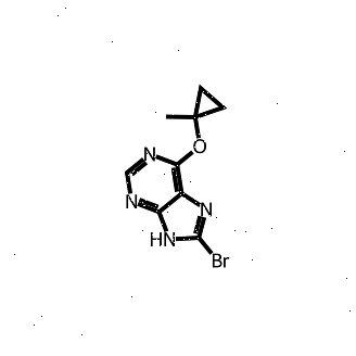 CC1(Oc2ncnc3[nH]c(Br)nc23)CC1